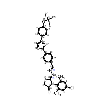 Cc1cc(Cl)cc(C)c1N1C(=O)CS/C1=N\N=C\c1ccc(-c2ncn(-c3ccc(OC(F)(F)F)cc3)n2)cc1